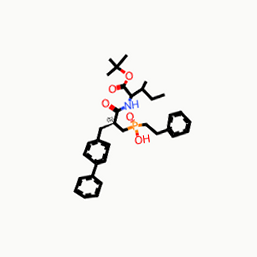 CCC(C)C(NC(=O)[C@H](Cc1ccc(-c2ccccc2)cc1)CP(=O)(O)CCc1ccccc1)C(=O)OC(C)(C)C